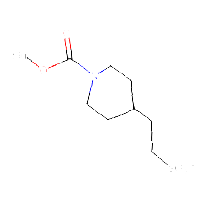 CC(C)(C)OC(=O)N1CCC(CCS(=O)(=O)O)CC1